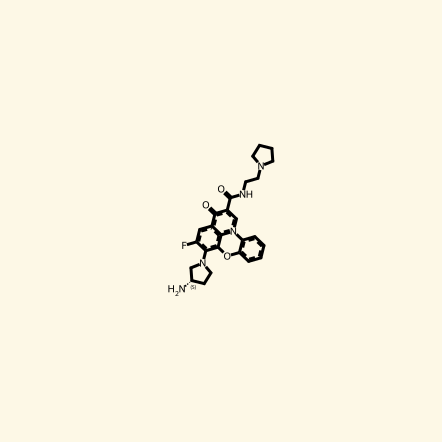 N[C@H]1CCN(c2c(F)cc3c(=O)c(C(=O)NCCN4CCCC4)cn4c3c2Oc2ccccc2-4)C1